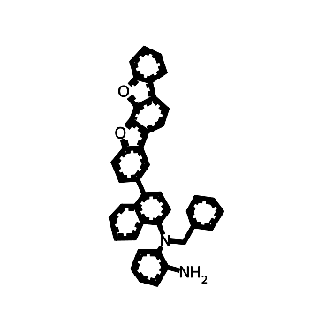 Nc1ccccc1N(Cc1ccccc1)c1ccc(-c2ccc3oc4c(ccc5c6ccccc6oc54)c3c2)c2ccccc12